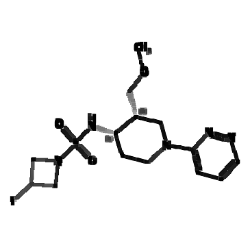 COC[C@@H]1CN(c2cccnn2)CC[C@@H]1NS(=O)(=O)N1CC(F)C1